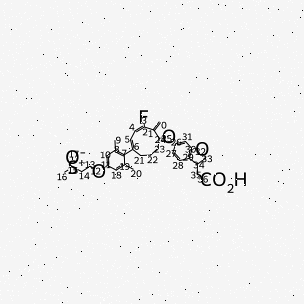 C=C1/C(F)=C\C=C(\c2c(C)cc(OCC[S+](C)[O-])cc2C)CCC[C@H]1Oc1ccc2c(c1)OC[C@H]2CC(=O)O